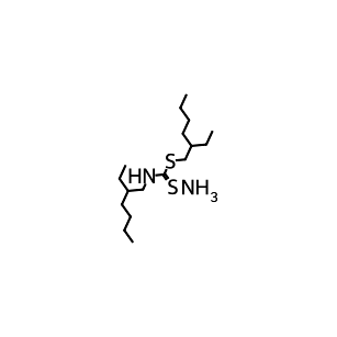 CCCCC(CC)CNC(=S)SCC(CC)CCCC.N